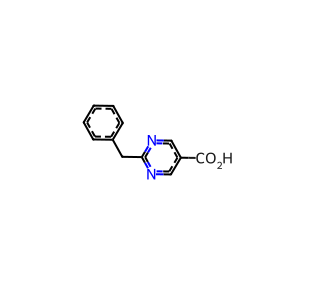 O=C(O)c1cnc(Cc2ccccc2)nc1